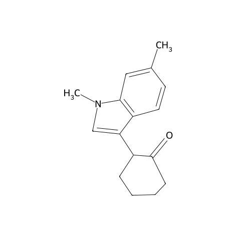 Cc1ccc2c(C3CCCCC3=O)cn(C)c2c1